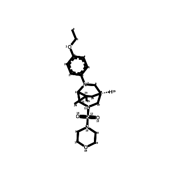 CCOc1ccc(N2C[C@H]3CN(S(=O)(=O)N4CCOCC4)CC2C(C)(C)C3)cc1